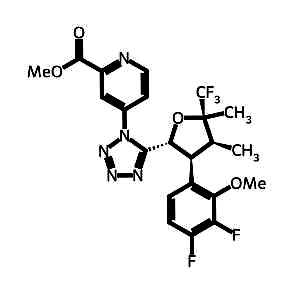 COC(=O)c1cc(-n2nnnc2[C@@H]2O[C@@](C)(C(F)(F)F)[C@@H](C)[C@H]2c2ccc(F)c(F)c2OC)ccn1